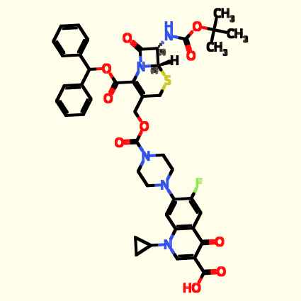 CC(C)(C)OC(=O)N[C@H]1C(=O)N2C(C(=O)OC(c3ccccc3)c3ccccc3)=C(COC(=O)N3CCN(c4cc5c(cc4F)c(=O)c(C(=O)O)cn5C4CC4)CC3)CS[C@@H]12